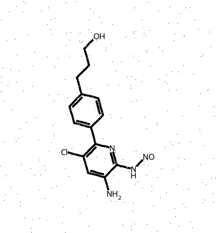 Nc1cc(Cl)c(-c2ccc(CCCO)cc2)nc1NN=O